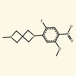 COc1cc(N2CC3(CN(C)C3)C2)c(F)cc1[N+](=O)[O-]